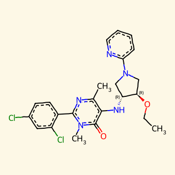 CCO[C@@H]1CN(c2ccccn2)C[C@H]1Nc1c(C)nc(-c2ccc(Cl)cc2Cl)n(C)c1=O